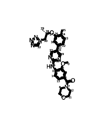 COc1cc(C(=O)N2CCOCC2)ccc1Nc1ncc(-c2ccc(C)c(O[C@@H](C)Cn3cnnn3)c2)cn1